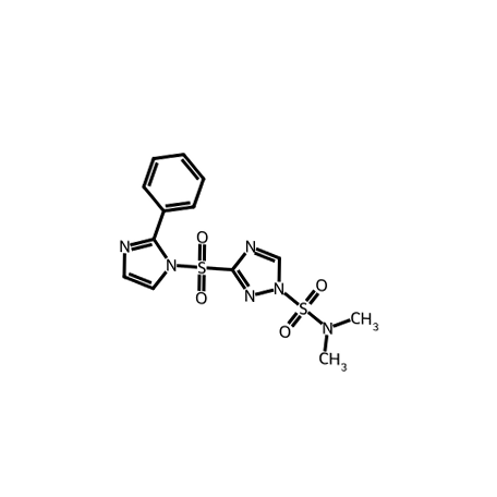 CN(C)S(=O)(=O)n1cnc(S(=O)(=O)n2ccnc2-c2ccccc2)n1